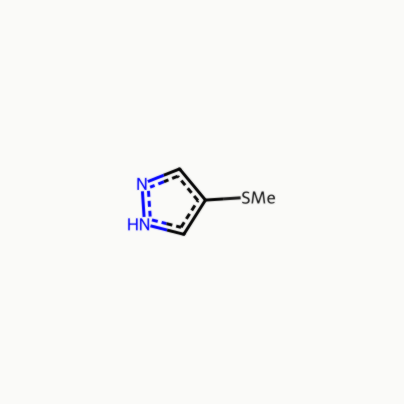 [CH2]Sc1cn[nH]c1